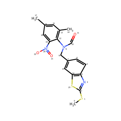 CSc1nc2ccc(CN(C=O)c3c(C)cc(C)cc3[N+](=O)[O-])cc2s1